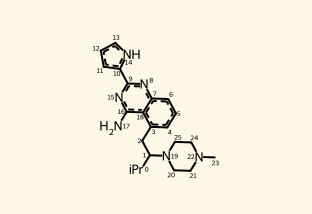 CC(C)C(Cc1cccc2nc(-c3ccc[nH]3)nc(N)c12)N1CCN(C)CC1